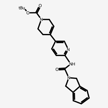 CC(C)(C)OC(=O)N1CC=C(c2ccc(NC(=O)N3Cc4ccccc4C3)nc2)CC1